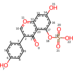 O=c1c(-c2ccc(O)cc2)coc2cc(O)cc(OS(=O)(=O)O)c12